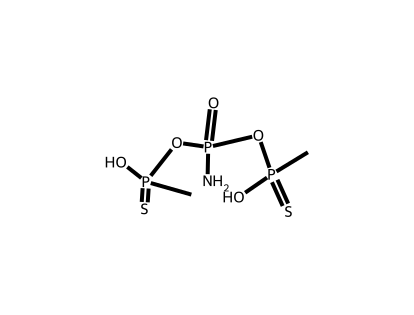 CP(O)(=S)OP(N)(=O)OP(C)(O)=S